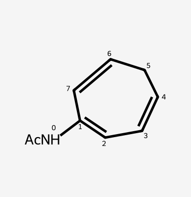 CC(=O)NC1=CC=CCC=C1